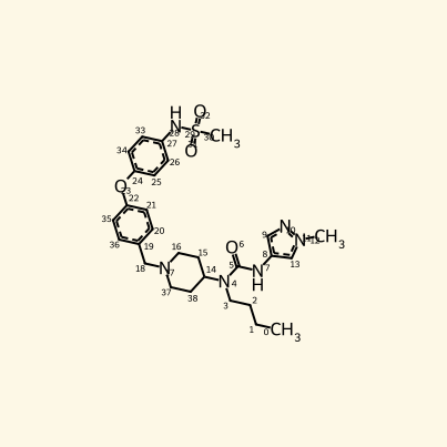 CCCCN(C(=O)Nc1cnn(C)c1)C1CCN(Cc2ccc(Oc3ccc(NS(C)(=O)=O)cc3)cc2)CC1